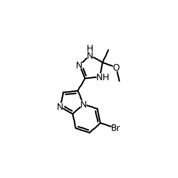 COC1(C)NN=C(c2cnc3ccc(Br)cn23)N1